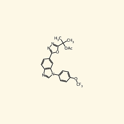 CC(=O)OC(C)(C)c1nnc(-c2ccc3ncn(-c4ccc(OC(F)(F)F)cc4)c3c2)o1